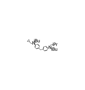 CCC(C)N(CC(C)C)c1ccc(Cc2ccc(N(CC3CC3)C(C)CC)cc2)cc1